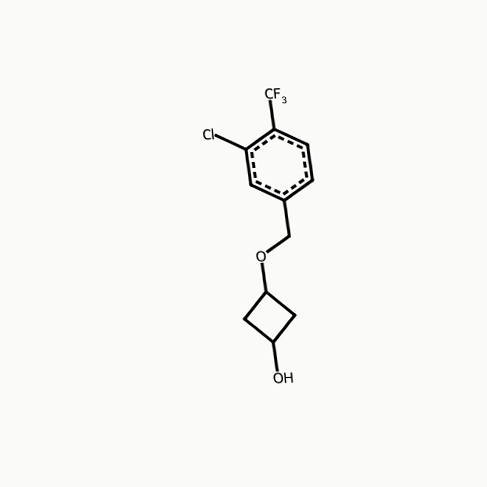 OC1CC(OCc2ccc(C(F)(F)F)c(Cl)c2)C1